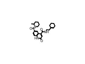 CC1CCCCN1[S+]([O-])c1ccc2[nH]c(=O)cc(C(=O)NCCC3=CCCCC3)c2c1